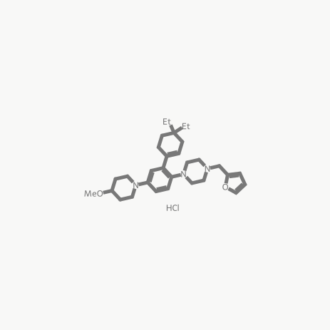 CCC1(CC)CC=C(c2cc(N3CCC(OC)CC3)ccc2N2CCN(Cc3ccco3)CC2)CC1.Cl